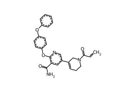 C=CC(=O)N1CCC=C(c2cnc(Oc3ccc(Oc4ccccc4)cc3)c(C(N)=O)c2)C1